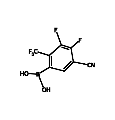 N#Cc1cc(B(O)O)c(C(F)(F)F)c(F)c1F